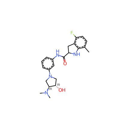 Cc1ccc(F)c2c1NC(C(=O)Nc1cccc(N3C[C@H](O)[C@@H](N(C)C)C3)c1)C2